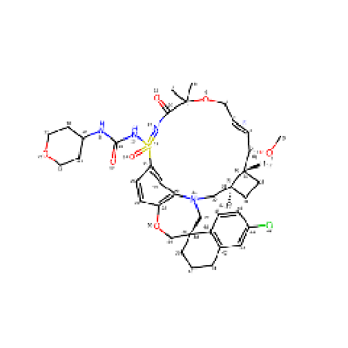 CO[C@H]1/C=C/COC(C)(C)C(=O)N=S(=O)(NC(=O)NC2CCOCC2)c2ccc3c(c2)N(C[C@@H]2CC[C@H]21)C[C@@]1(CCCc2cc(Cl)ccc21)CO3